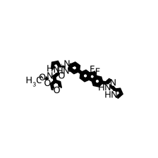 COC(=O)N[C@H](C(=O)N1CCC[C@H]1c1nc2ccc(-c3ccc4c(c3)C(F)(F)c3cc(-c5cnc(C6CCCN6)[nH]5)ccc3-4)cc2[nH]1)C1CCOCC1